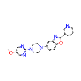 COc1cnc(N2CCN(c3ccc4oc(-c5cccnc5)nc4c3)CC2)nc1